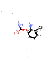 Cc1ccccc1N.NC(=O)O